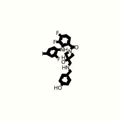 O=C(c1ccc(F)c(F)c1Nc1ccc(I)cc1F)N1CC(O)(CNCc2ccc(O)cc2)C1